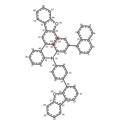 c1cc(-c2cccc3ccccc23)cc(N(c2ccc(-c3cccc4c3oc3ccccc34)cc2)c2ccccc2-c2ccc3oc4ccccc4c3c2)c1